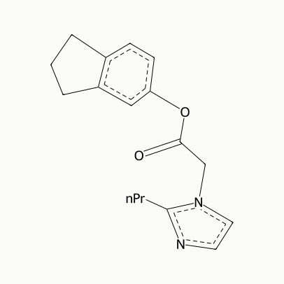 CCCc1nccn1CC(=O)Oc1ccc2c(c1)CCC2